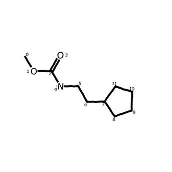 COC(=O)[N]CCC1CCCC1